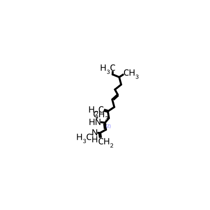 C=C(CC=CCCC(C)CC)C/C(=C/C(=C)NC)NC